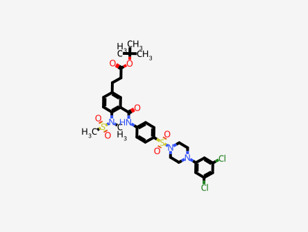 CN(c1ccc(CCC(=O)OC(C)(C)C)cc1C(=O)Nc1ccc(S(=O)(=O)N2CCN(c3cc(Cl)cc(Cl)c3)CC2)cc1)S(C)(=O)=O